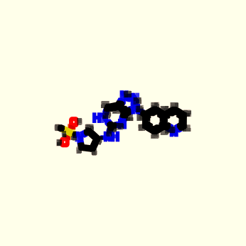 CS(=O)(=O)N1CC[C@@H](NC2N=c3c(nnn3-c3ccc4ncccc4c3)=CN2)C1